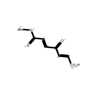 CCC(C)OC(=O)C=CC(=O)C=CC(=O)O